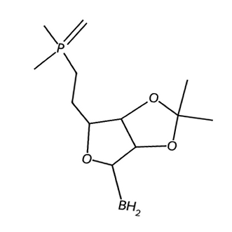 BC1OC(CCP(=C)(C)C)C2OC(C)(C)OC12